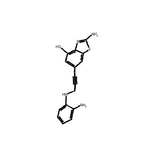 Nc1nc2c(O)cc(C#CCNc3ccccc3N)cc2s1